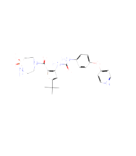 CC(C)(C)c1cc(NC(=O)Nc2ccc(Oc3ccncc3)cc2)c(C(=O)N2CCNS(=O)(=O)CC2)s1